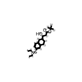 CCN(CC)Sc1ccc2c(c1)CCC(C(O)CC(=O)OC(C)(C)C)C2